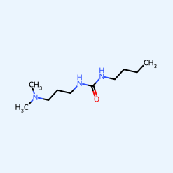 CCCCNC(=O)NCCCN(C)C